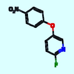 O=[N+]([O-])c1ccc(Oc2ccc(F)nc2)cc1